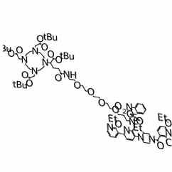 CCOc1ccc(C(=O)N2CCN(c3ccc(-c4cccnc4OCC)nc3CN(CCCOCCOCCOCCOCCNC(=O)CCC(C(=O)OC(C)(C)C)N3CCN(CC(=O)OC(C)(C)C)CCN(CC(=O)OC(C)(C)C)CCN(CC(=O)OC(C)(C)C)CC3)S(=O)(=O)c3ccccc3[N+](=O)[O-])[C@H](CC)C2)c(C(F)(F)F)n1